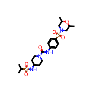 CC1CN(S(=O)(=O)c2ccc(NC(=O)N3CCC(NS(=O)(=O)C(C)C)CC3)cc2)CC(C)O1